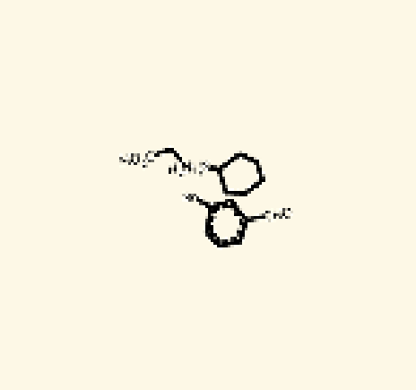 NC1CCCCC1.NCC(=O)O.O=Cc1cccc(Br)c1